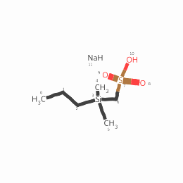 CCC[Si](C)(C)CS(=O)(=O)O.[NaH]